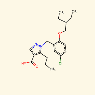 CCCc1c(C(=O)O)cnn1Cc1cc(Cl)ccc1OCC(CC)CC